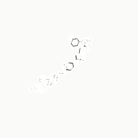 CCC1CN(CCc2ccc(C3=CC(=C4C(=O)Nc5cc(F)ccc54)OC3(C)C)cn2)CCN1C(=O)O